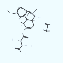 COc1ccc2c3c1O[C@H]1C(OC(=O)[C@H](O)[C@@H](O)C(=O)O)=CC[C@@]4(O)[C@@H](C2)N(C)CC[C@]314.O=C(O)C(F)(F)F